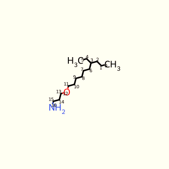 CCCC(CC)CCCCCCOCCCN